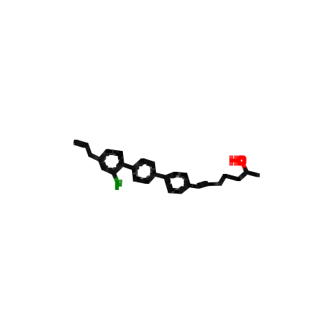 C=CCc1ccc(-c2ccc(-c3ccc(/C=C/CCCC(C)O)cc3)cc2)c(F)c1